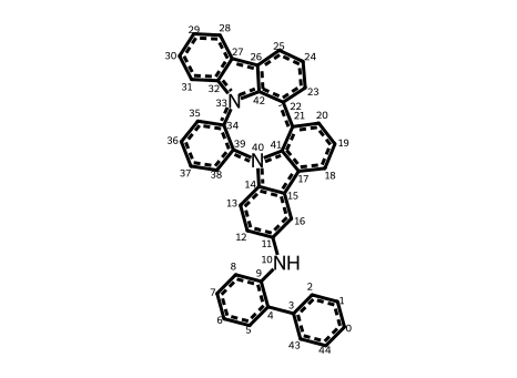 c1ccc(-c2ccccc2Nc2ccc3c(c2)c2cccc4c5cccc6c7ccccc7n(c7ccccc7n3c24)c65)cc1